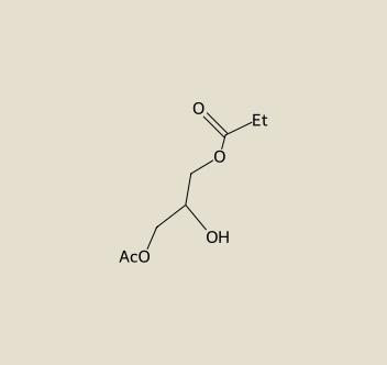 CCC(=O)OCC(O)COC(C)=O